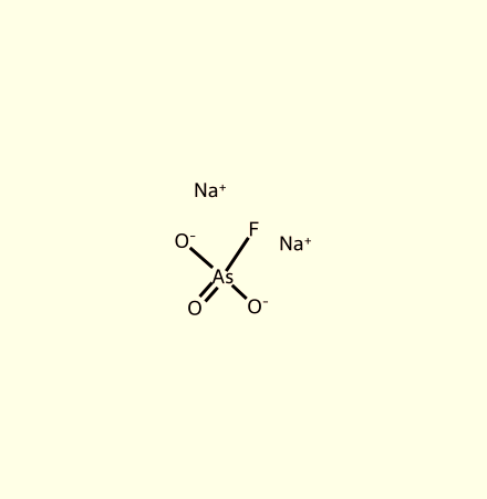 O=[As]([O-])([O-])F.[Na+].[Na+]